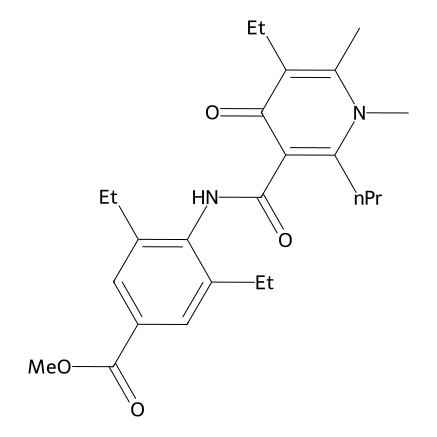 CCCc1c(C(=O)Nc2c(CC)cc(C(=O)OC)cc2CC)c(=O)c(CC)c(C)n1C